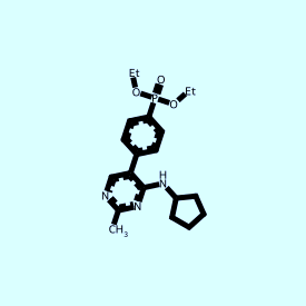 CCOP(=O)(OCC)c1ccc(-c2cnc(C)nc2NC2CCCC2)cc1